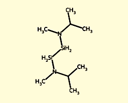 CC(C)N(C)[SiH2][SiH2]N(C)C(C)C